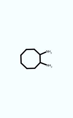 NC1CCCCCCC1N